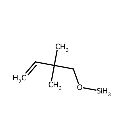 C=CC(C)(C)CO[SiH3]